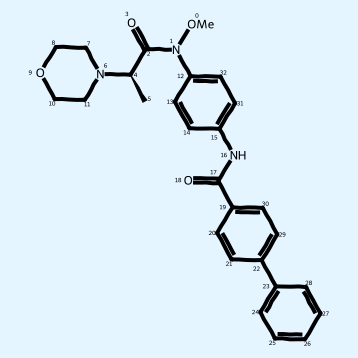 CON(C(=O)[C@@H](C)N1CCOCC1)c1ccc(NC(=O)c2ccc(-c3ccccc3)cc2)cc1